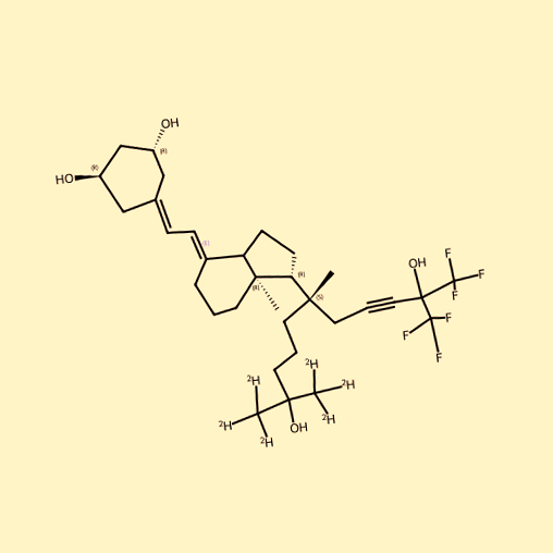 [2H]C([2H])([2H])C(O)(CCC[C@@](C)(CC#CC(O)(C(F)(F)F)C(F)(F)F)[C@H]1CCC2/C(=C/C=C3C[C@@H](O)C[C@H](O)C3)CCC[C@@]21C)C([2H])([2H])[2H]